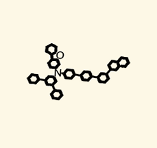 c1ccc(-c2cc(-c3ccccc3)cc(N(c3ccc(-c4ccc(-c5cccc(-c6ccc7ccccc7c6)c5)cc4)cc3)c3ccc4c(c3)oc3ccccc34)c2)cc1